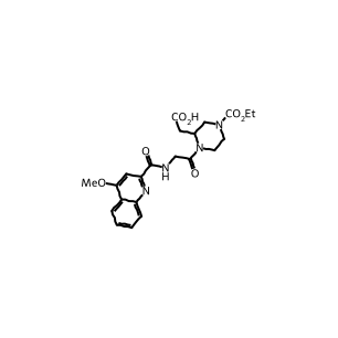 CCOC(=O)N1CCN(C(=O)CNC(=O)c2cc(OC)c3ccccc3n2)C(CC(=O)O)C1